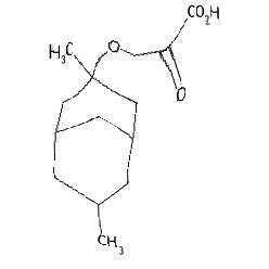 CC1CC2CC(C1)CC(C)(OC(=O)C(=O)O)C2